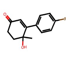 CC1(O)CCC(=O)C=C1c1ccc(Br)cc1